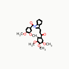 COc1ccc(C(=O)n2cc(C=CC(=O)c3cc(OC)c(OC)c(OC)c3)c3ccccc32)cc1OC